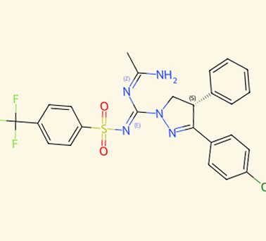 C/C(N)=N/C(=N\S(=O)(=O)c1ccc(C(F)(F)F)cc1)N1C[C@H](c2ccccc2)C(c2ccc(Cl)cc2)=N1